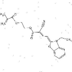 C=C(C)C(=O)OCCOC(=O)/C(C#N)=C/C=C1\Oc2ccccc2N1CC